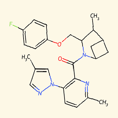 Cc1cnn(-c2ccc(C)nc2C(=O)N2C3CC(C3)C(C)C2COc2ccc(F)cc2)c1